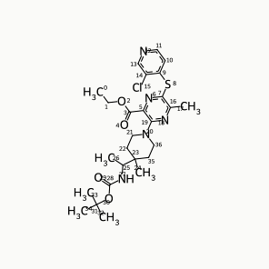 CCOC(=O)c1nc(Sc2ccncc2Cl)c(C)nc1N1CCC(C)(C(C)NC(=O)OC(C)(C)C)CC1